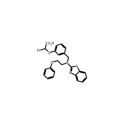 CCC(Oc1cccc(CN(CCOc2ccccc2)c2nc3ccccc3s2)c1)C(=O)O